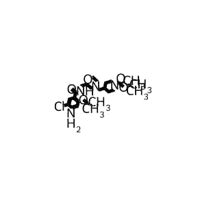 CC(C)Oc1cc(N)c(Cl)cc1C(=O)NCC1CN(CC2CCN(C(=O)OC(C)(C)C)CC2)CCO1